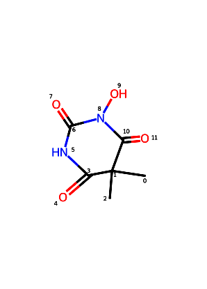 CC1(C)C(=O)NC(=O)N(O)C1=O